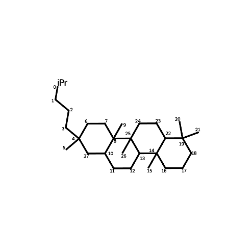 CC(C)CCCC1(C)CCC2(C)C(CCC3C4(C)CCCC(C)(C)C4CCC32C)C1